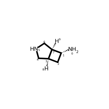 N[C@@H]1C[C@H]2CNC[C@H]21